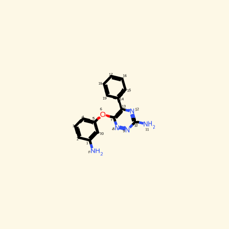 Nc1cccc(Oc2nnc(N)nc2-c2ccccc2)c1